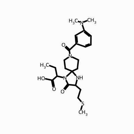 CCC(C(=O)O)N1C(=O)C(CCSC)NC12CCN(C(=O)c1cccc(N(C)C)c1)CC2